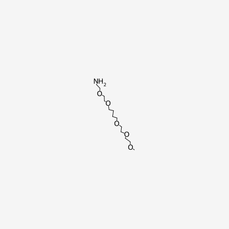 COCCOCCOCCCCOCCOCCN